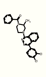 CC1CN(c2nnc(-c3ccc(Cl)c(Cl)c3)c3ccccc23)CCN1C(=O)c1ccccc1